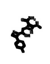 CNc1[nH]n(CC(O)n2scc2C2=CC=C(C)CC2)c1C(N)=O